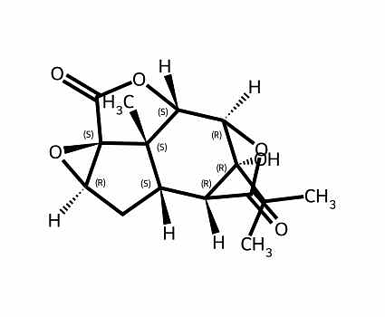 CC(C)[C@]1(O)[C@@H]2OC(=O)[C@@H]1[C@@H]1C[C@H]3O[C@]34C(=O)O[C@H]2[C@]14C